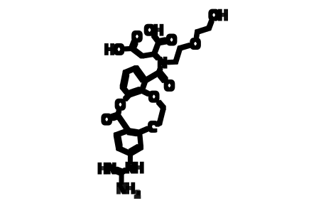 N=C(N)Nc1ccc2c(c1)CCCOc1c(cccc1C(=O)N(CCOCCO)C(CC(=O)O)C(=O)O)OC2=O